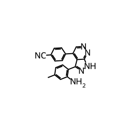 Cc1ccc(-c2n[nH]c3nncc(-c4ccc(C#N)cc4)c23)c(N)c1